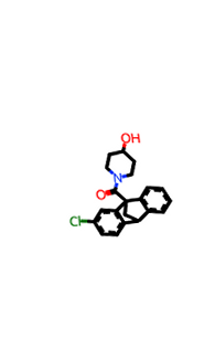 O=C(N1CCC(O)CC1)C12CC(c3ccccc31)c1ccc(Cl)cc12